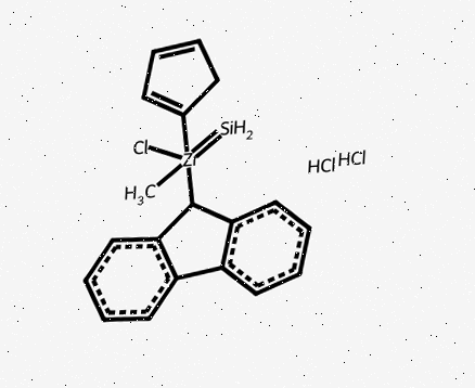 Cl.Cl.[CH3][Zr](=[SiH2])([Cl])([C]1=CC=CC1)[CH]1c2ccccc2-c2ccccc21